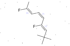 C\C(F)=C/C=C\C(F)=C\C(C)(C)C